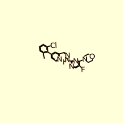 Cc1cccc(Cl)c1-c1ccnc(/C=N\N(I)c2ncc(F)c(N3CCOCC3)n2)c1